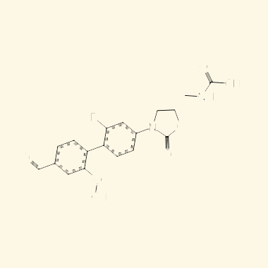 COc1cc(C=O)ccc1-c1ccc(N2C[C@H](CNC(C)=O)OC2=O)cc1F